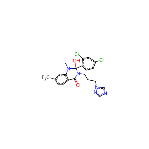 CN1c2cc(C(F)(F)F)ccc2C(=O)N(CCCn2cncn2)C1(O)c1ccc(Cl)cc1Cl